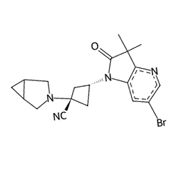 CC1(C)C(=O)N([C@H]2C[C@@](C#N)(N3CC4CC4C3)C2)c2cc(Br)cnc21